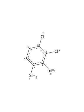 CCCc1c([SiH3])ccc(Cl)c1Cl